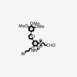 CCCOc1c(OCCCBr)cc([C@H]2CC[C@H](c3cc(OC)c(OC)c(OC)c3)O2)cc1S(=O)(=O)CCC=O